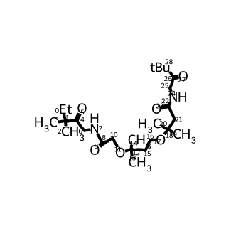 CCC(C)(C)C(=O)CNC(=O)COC(C)(C)CCOC(C)(C)CC(=O)NCC(=O)C(C)(C)C